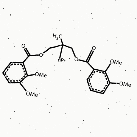 CCCC(C)(COC(=O)c1cccc(OC)c1OC)COC(=O)c1cccc(OC)c1OC